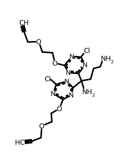 C#CCOCCOc1nc(Cl)nc(C(N)(CCCN)c2nc(Cl)nc(OCCOCC#C)n2)n1